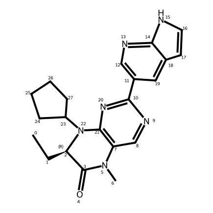 CC[C@@H]1C(=O)N(C)c2cnc(-c3cnc4[nH]ccc4c3)nc2N1C1CCCC1